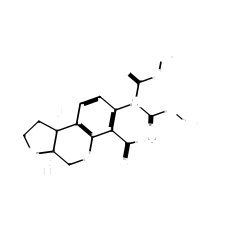 COC(=O)c1c(N(C(=O)OC(C)(C)C)C(=O)OC(C)(C)C)ccc2c1OC[C@H]1OCC[C@@H]21